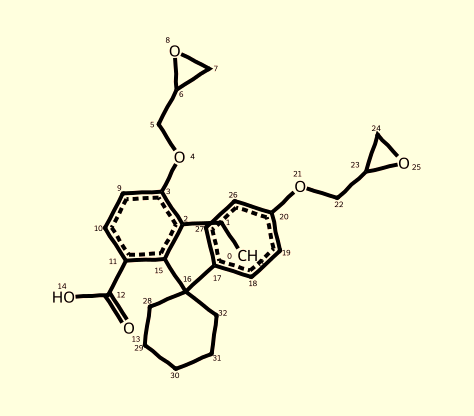 CCc1c(OCC2CO2)ccc(C(=O)O)c1C1(c2ccc(OCC3CO3)cc2)CCCCC1